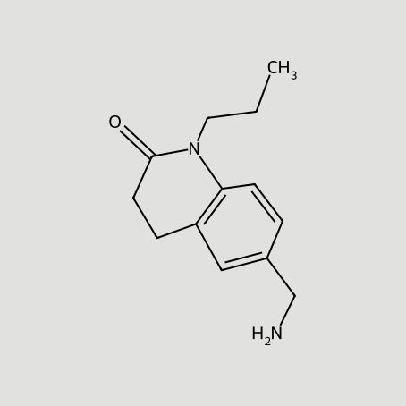 CCCN1C(=O)CCc2cc(CN)ccc21